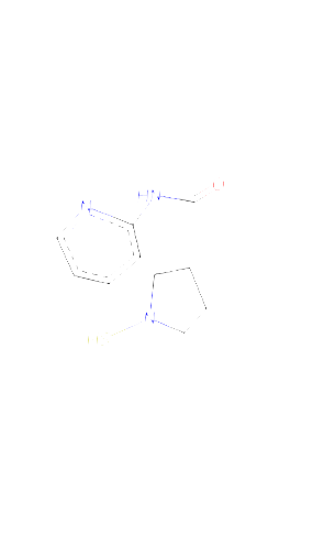 O=CNc1ccccn1.SN1CCCC1